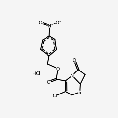 Cl.O=C(OCc1ccc([N+](=O)[O-])cc1)C1=C(Cl)CSC2CC(=O)N12